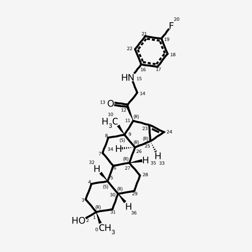 C[C@@]1(O)CC[C@@H]2C3CC[C@]4(C)[C@@H](C(=O)CNc5ccc(F)cc5)C5=C[C@H]5[C@H]4[C@@H]3CC[C@@H]2C1